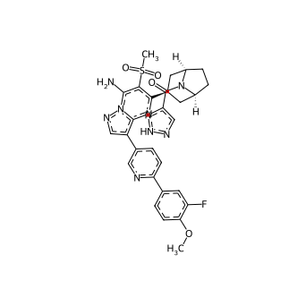 COc1ccc(-c2ccc(-c3cnn4c(N)c(S(C)(=O)=O)c([C@H]5C[C@H]6CC[C@@H](C5)N6C(=O)c5cn[nH]n5)nc34)cn2)cc1F